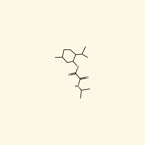 CC1CCC(C(C)C)C(OC(=O)C(=O)NC(C)C)C1